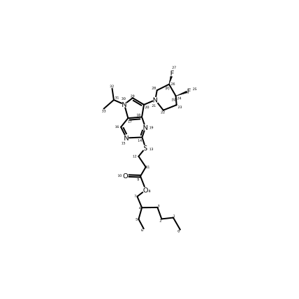 CCCCC(CC)COC(=O)CCSc1ncc2c(n1)c(N1CC[C@H](F)[C@H](F)C1)cn2C(C)C